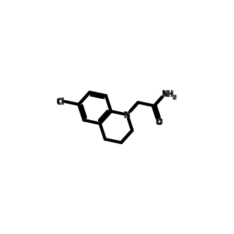 NC(=O)CN1CCCc2cc(Cl)ccc21